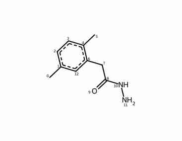 Cc1ccc(C)c(CC(=O)NN)c1